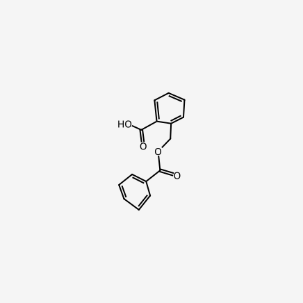 O=C(OCc1ccccc1C(=O)O)c1ccccc1